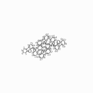 c1ccc2c(c1)oc1c(-n3c4ccccc4c4c(-n5c6ccccc6c6ccccc65)c(-c5ccc6c(c5-n5c7ccccc7c7ccccc75)c5ccccc5n6-c5cccc6c5oc5ccccc56)ccc43)cccc12